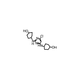 OC1CCC(Nc2cc(Cl)nc(NC3CCC(O)CC3)n2)CC1